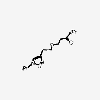 CC(C)C(=O)CCOCCc1cn(C(C)C)nn1